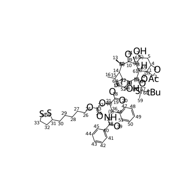 CC(=O)O[C@@]12COC1C[C@H](O)[C@@]1(C)C(=O)[C@H](C)C3C(C)[C@@H](OC(=O)[C@H](OC(=O)OCCCCCC4CCSS4)[C@@H](NC(=O)c4ccccc4)c4ccccc4)C[C@@](O)([C@@H](O[Si](C)(C)C(C)(C)C)[C@@H]12)C3(C)C